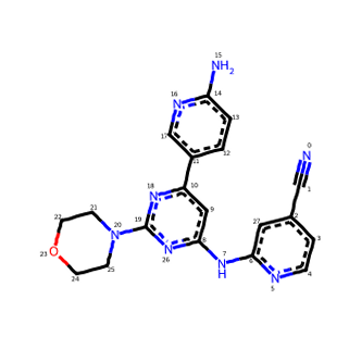 N#Cc1ccnc(Nc2cc(-c3ccc(N)nc3)nc(N3CCOCC3)n2)c1